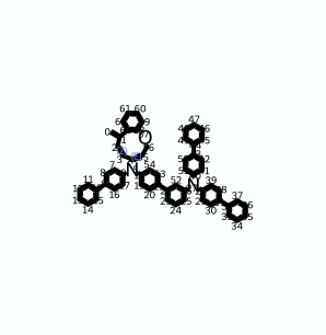 C=C1/C=C\C(N(c2ccc(-c3ccccc3)cc2)c2ccc(-c3cccc(N(c4ccc(-c5ccccc5)cc4)c4ccc(-c5ccccc5)cc4)c3)cc2)=C/COc2ccccc21